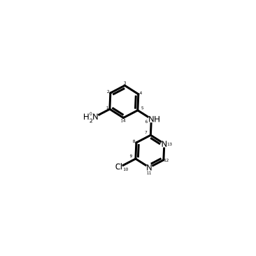 Nc1cccc(Nc2cc(Cl)ncn2)c1